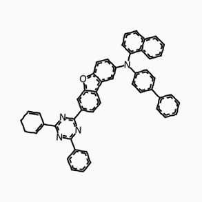 C1=CC(c2nc(-c3ccccc3)nc(-c3ccc4c(c3)oc3ccc(N(c5ccc(-c6ccccc6)cc5)c5cccc6ccccc56)cc34)n2)=CCC1